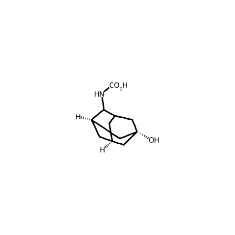 O=C(O)NC1C2C[C@@H]3C[C@@H]1C[C@@](O)(C2)C3